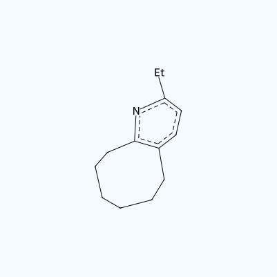 CCc1ccc2c(n1)CCCCCC2